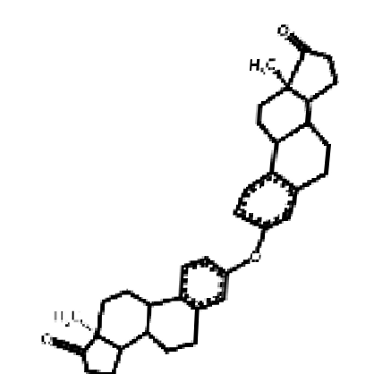 C[C@]12CCC3c4ccc(Oc5ccc6c(c5)CCC5C6CC[C@]6(C)C(=O)CCC56)cc4CCC3C1CCC2=O